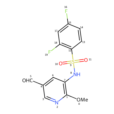 COc1ncc(C=O)cc1NS(=O)(=O)c1ccc(F)cc1F